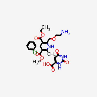 CCOC(=O)C1=C(COCCN)NC(C)=C(C(=O)OC)[C@@H]1c1ccccc1Cl.O=C(O)c1cc(=O)[nH]c(=O)[nH]1